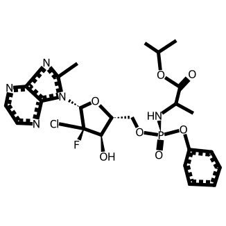 Cc1nc2nccnc2n1[C@@H]1O[C@H](CO[P@](=O)(NC(C)C(=O)OC(C)C)Oc2ccccc2)[C@@H](O)[C@]1(F)Cl